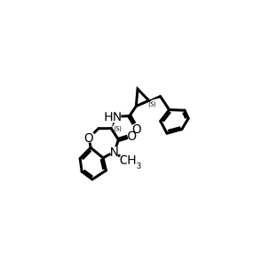 CN1C(=O)[C@@H](NC(=O)C2C[C@H]2Cc2ccccc2)COc2ccccc21